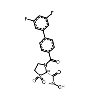 O=C(NO)[C@H]1N(C(=O)c2ccc(-c3cc(F)cc(F)c3)cc2)CCS1(=O)=O